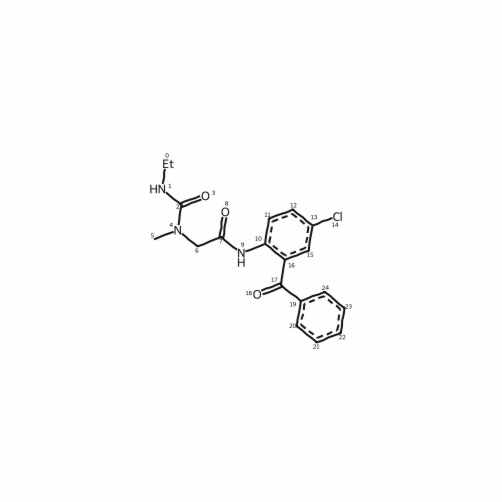 CCNC(=O)N(C)CC(=O)Nc1ccc(Cl)cc1C(=O)c1ccccc1